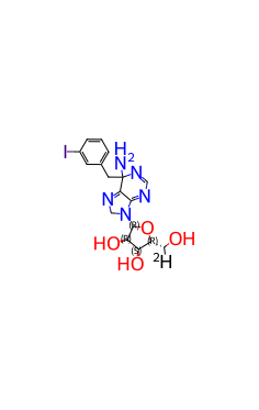 [2H]C(O)[C@H]1O[C@@H](N2CN=C3C2=NC=NC3(N)Cc2cccc(I)c2)[C@H](O)[C@@H]1O